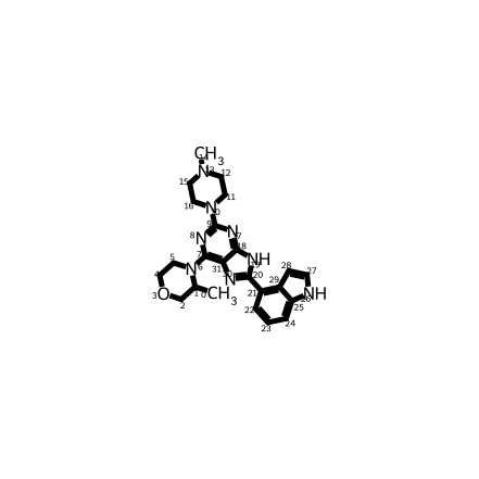 CC1COCCN1c1nc(N2CCN(C)CC2)nc2[nH]c(-c3cccc4[nH]ccc34)nc12